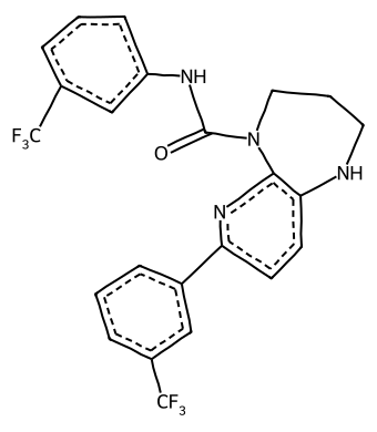 O=C(Nc1cccc(C(F)(F)F)c1)N1CCCNc2ccc(-c3cccc(C(F)(F)F)c3)nc21